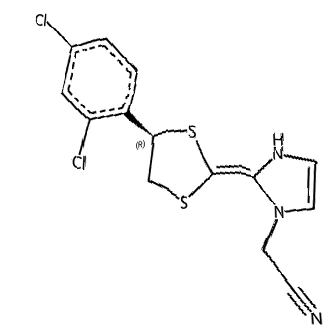 N#CCN1C=CNC1=C1SC[C@@H](c2ccc(Cl)cc2Cl)S1